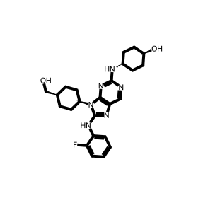 OC[C@H]1CC[C@@H](n2c(Nc3ccccc3F)nc3cnc(N[C@H]4CC[C@H](O)CC4)nc32)CC1